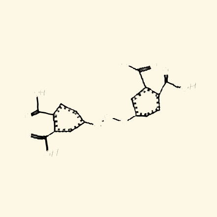 O=C(O)c1ccc(OOOc2ccc(C(=O)O)c(C(=O)O)c2)cc1C(=O)O